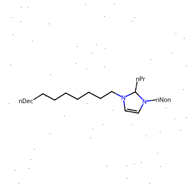 CCCCCCCCCCCCCCCCCN1C=CN(CCCCCCCCC)C1CCC